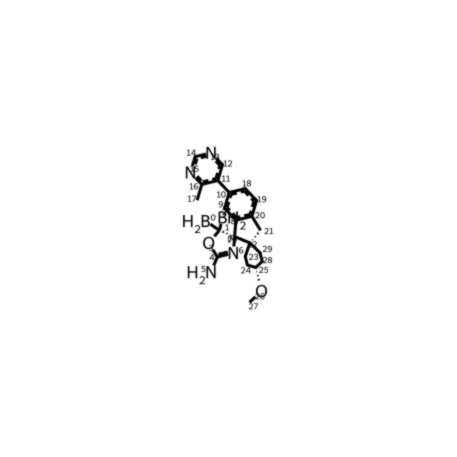 BC1(B)OC(N)=N[C@]12c1cc(-c3cncnc3C)ccc1C[C@]21CC[C@@H](OC)CC1